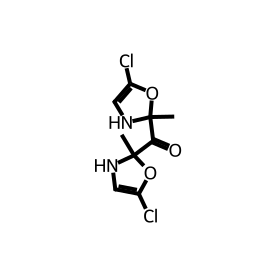 CC1(C(=O)C2(C)NC=C(Cl)O2)NC=C(Cl)O1